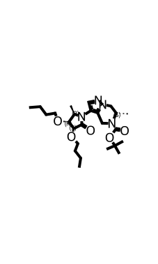 CCCCO[C@H]1[C@H](OCCCC)C(=O)N(c2cnn3c2CN(C(=O)OC(C)(C)C)[C@@H](C)C3)[C@@H]1C